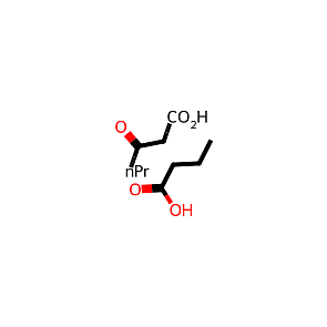 CCCC(=O)CC(=O)O.CCCC(=O)O